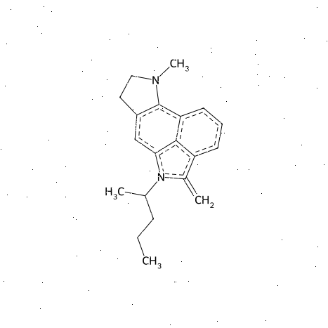 C=c1c2cccc3c4c(cc(c32)n1C(C)CCC)CCN4C